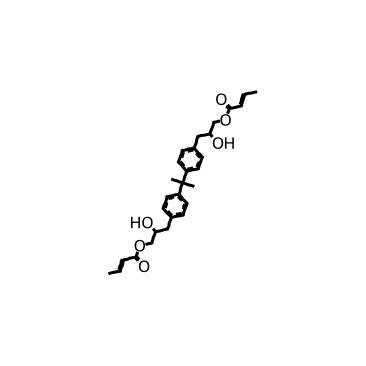 CC=CC(=O)OCC(O)Cc1ccc(C(C)(C)c2ccc(CC(O)COC(=O)C=CC)cc2)cc1